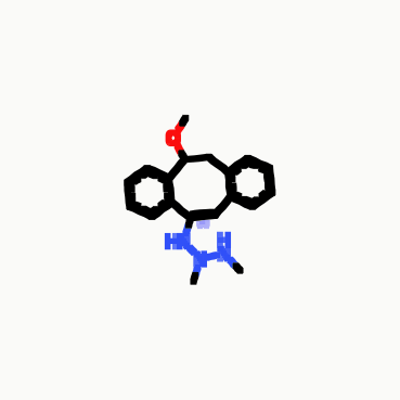 CNN(C)N/C1=C/c2ccccc2CC(OC)c2ccccc21